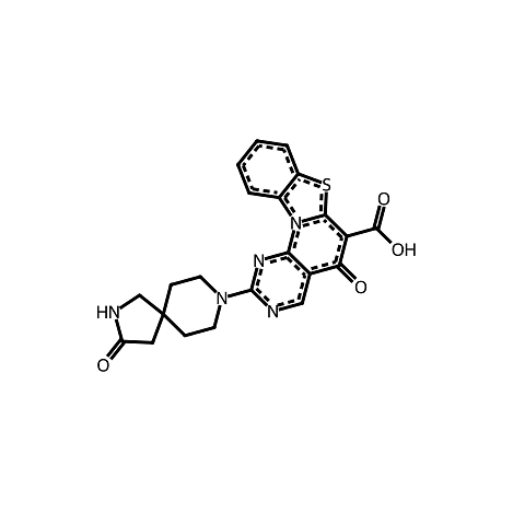 O=C1CC2(CCN(c3ncc4c(=O)c(C(=O)O)c5sc6ccccc6n5c4n3)CC2)CN1